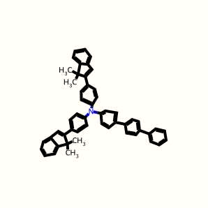 CC1(C)C(c2ccc(N(c3ccc(C4=Cc5ccccc5C4(C)C)cc3)c3ccc(-c4ccc(-c5ccccc5)cc4)cc3)cc2)=Cc2ccccc21